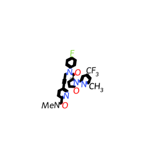 CNC(=O)c1ccc(C#CCN(C(=O)[C@@H]2CCC(=O)N2c2cc(C(F)(F)F)cc(C)n2)c2ccc(F)cc2)cn1